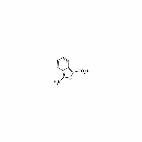 Nc1sc(C(=O)O)c2ccccc12